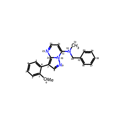 COc1ccccc1-c1cnn2c(N(C)Cc3ccccc3)ccnc12